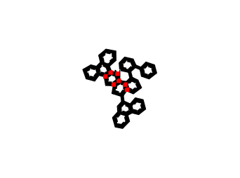 c1ccc(-c2ccccc2-c2c(-c3ccccc3)cccc2N(c2ccc(-c3cc4ccccc4c4ccccc34)cc2)c2cc3ccccc3c3ccccc23)cc1